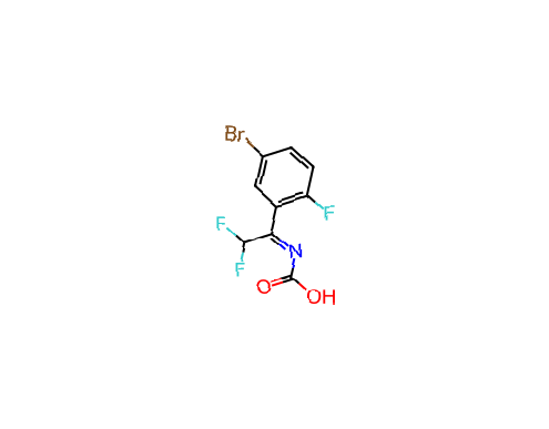 O=C(O)N=C(c1cc(Br)ccc1F)C(F)F